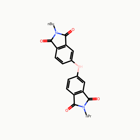 CCCCN1C(=O)c2ccc(Bc3ccc4c(c3)C(=O)N(CCC)C4=O)cc2C1=O